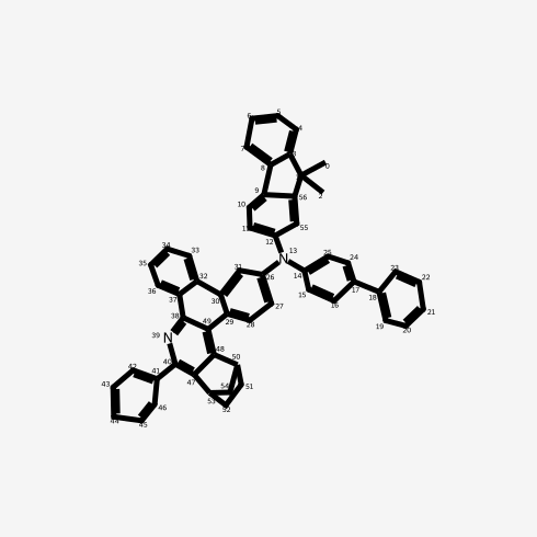 CC1(C)c2ccccc2-c2ccc(N(c3ccc(-c4ccccc4)cc3)c3ccc4c(c3)c3ccccc3c3nc(-c5ccccc5)c5c(c43)C3CCC5C3)cc21